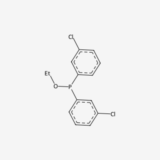 CCOP(c1cccc(Cl)c1)c1cccc(Cl)c1